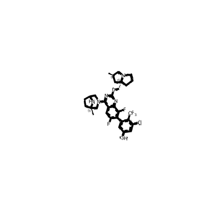 C[C@H]1CN2CCC[C@@]2(COc2nc(N3CC4CC[C@@](C)(C3)N4)c3cc(F)c(-c4cc(O)cc(Cl)c4C(F)(F)F)c(F)c3n2)C1